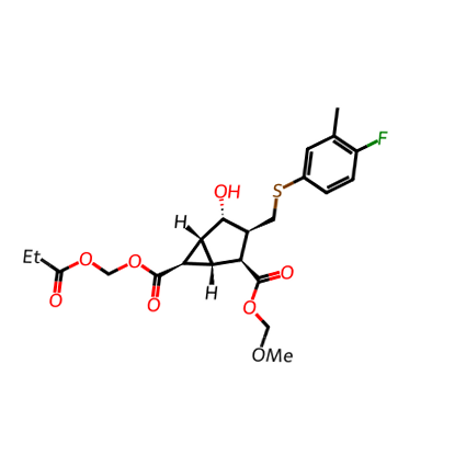 CCC(=O)OCOC(=O)[C@@H]1[C@H]2[C@H](C(=O)OCOC)[C@H](CSc3ccc(F)c(C)c3)[C@@H](O)[C@@H]12